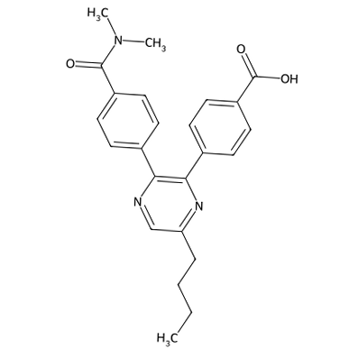 CCCCc1cnc(-c2ccc(C(=O)N(C)C)cc2)c(-c2ccc(C(=O)O)cc2)n1